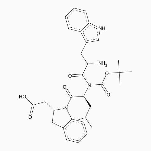 CC(C)C[C@@H](C(=O)N1c2ccccc2C[C@@H]1CC(=O)O)N(C(=O)OC(C)(C)C)C(=O)[C@@H](N)Cc1c[nH]c2ccccc12